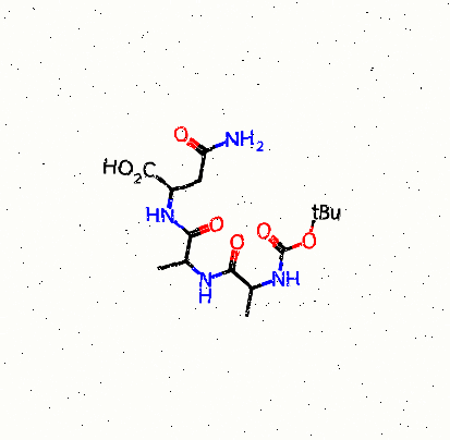 CC(NC(=O)OC(C)(C)C)C(=O)NC(C)C(=O)NC(CC(N)=O)C(=O)O